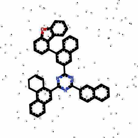 C1=Cc2c(-c3nc(-c4ccc5ccccc5c4)nc(-c4cc(-c5cccc6oc7ccccc7c56)c5ccccc5c4)n3)cc3ccccc3c2CC1